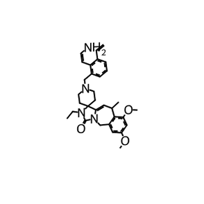 C=Cc1cccc(CN2CCC3(CC2)C2=CC(C)c4c(cc(OC)cc4OC)CN2C(=O)N3CC)c1/C=C\N